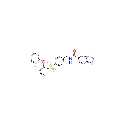 O=C(NCc1ccc(S(=O)(=O)c2cccc3c2Oc2ccccc2S3)cc1)c1ccc2nccn2c1